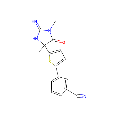 CN1C(=N)NC(C)(c2ccc(-c3cccc(C#N)c3)s2)C1=O